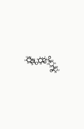 O=C(c1cc2ccc(Oc3nc4ncccc4s3)cc2o1)N1CCC(N2CCCC2=O)CC1